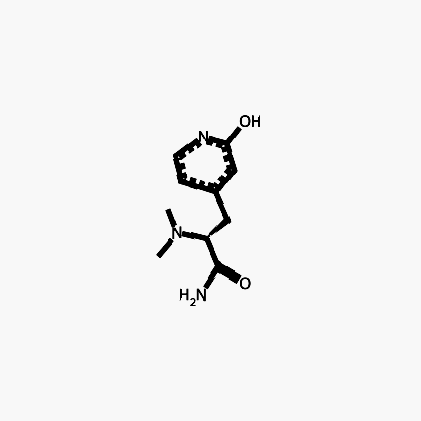 CN(C)[C@@H](Cc1ccnc(O)c1)C(N)=O